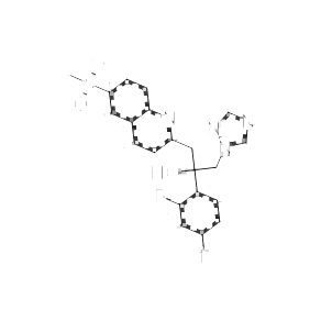 CS(=O)(=O)c1ccc2nc(CC(O)(Cn3cncn3)c3ccc(F)cc3F)ccc2c1